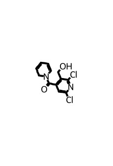 O=C(c1cc(Cl)nc(Cl)c1CO)N1C=CC=CC1